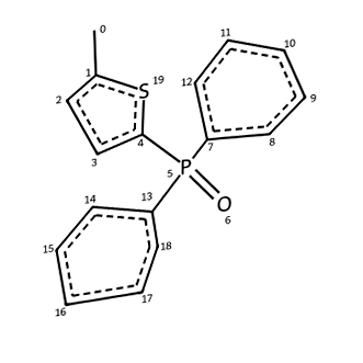 Cc1ccc(P(=O)(c2ccccc2)c2ccccc2)s1